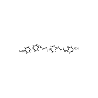 N#Cc1ccc(OCCCN2CCN(CCCOc3ccc(-c4ccc(C#N)cc4)cc3)CC2)cc1